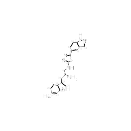 NC(CNc1nnc(-c2ccc3[nH]ncc3c2)s1)Cc1c[nH]c2cc(O)ccc12